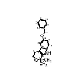 CC1(C)OCCc2c1[nH]c1ccc(OCc3ccccc3)cc21